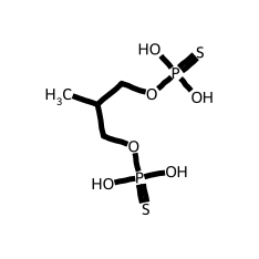 CC(COP(O)(O)=S)COP(O)(O)=S